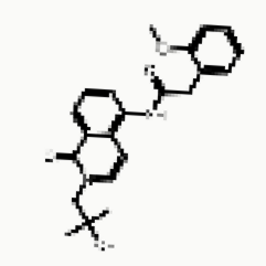 COc1ccccc1CC(=O)Nc1cccc2c(=O)n(CC(C)(C)O)ccc12